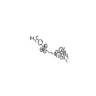 Cc1ccc(S(=O)(=O)OCC/C=C/B2OC(C)(C)C(C)(C)O2)cc1